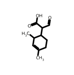 CC1=CC(C)C(C(C=O)C(=O)O)CC1